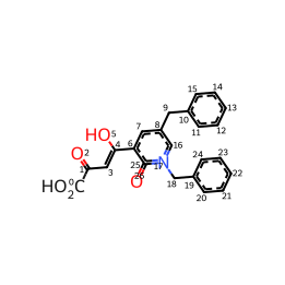 O=C(O)C(=O)/C=C(\O)c1cc(Cc2ccccc2)cn(Cc2ccccc2)c1=O